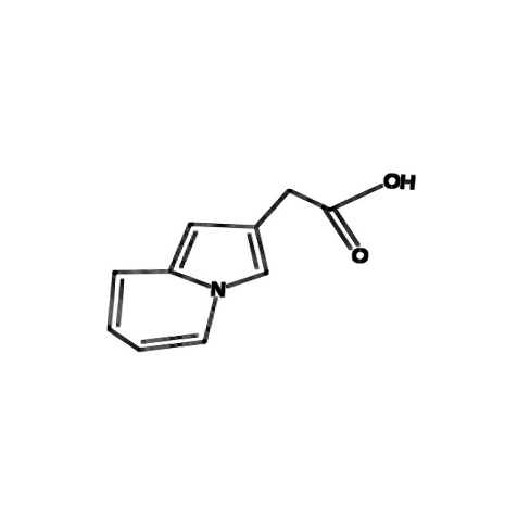 O=C(O)Cc1cc2ccccn2c1